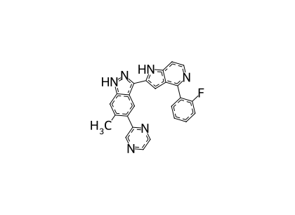 Cc1cc2[nH]nc(-c3cc4c(-c5ccccc5F)nccc4[nH]3)c2cc1-c1cnccn1